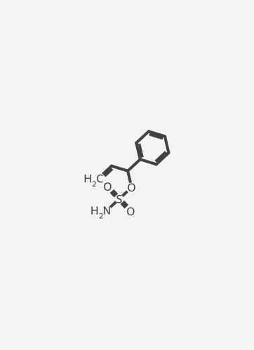 C=CC(OS(N)(=O)=O)c1ccccc1